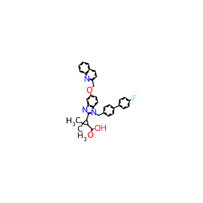 CC1(C)C(C(=O)O)C1c1nc2cc(OCc3ccc4ccccc4n3)ccc2n1Cc1ccc(-c2ccc(F)cc2)cc1